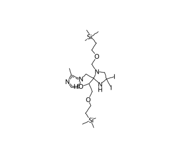 Cc1nccn1CC1(C(O)COCC[Si](C)(C)C)NC(I)(I)CN1COCC[Si](C)(C)C